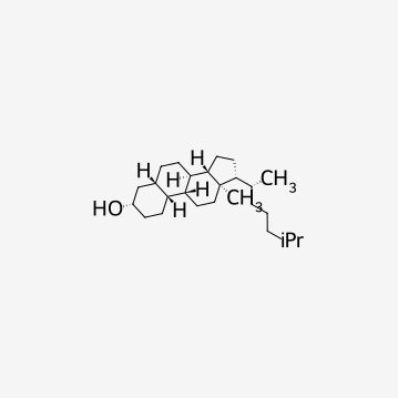 CC(C)CCC[C@@H](C)[C@H]1CC[C@H]2[C@@H]3CC[C@H]4C[C@@H](O)CC[C@H]4[C@H]3CC[C@]12C